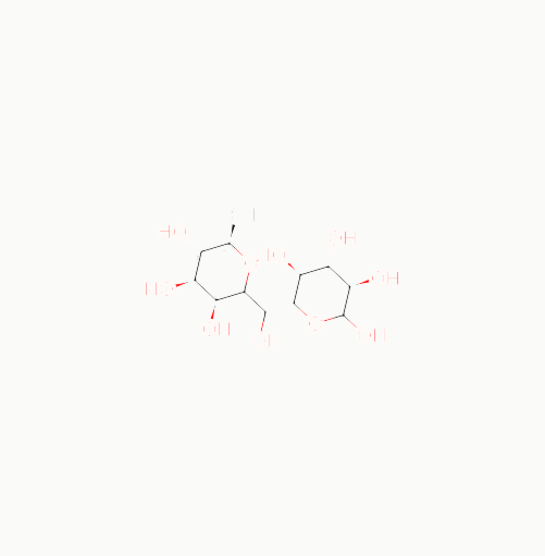 C[C@H]1OC(C(O)[C@H]2OC(O)[C@H](O)[C@@H](O)[C@@H]2O)[C@@H](O)[C@@H](O)[C@@H]1O